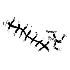 CCO[Si](OCC)(OCC)[SiH2]C(F)(F)C(F)(F)C(F)(F)C(F)(F)C(F)(F)C(F)(F)C(F)(F)C(F)(F)F